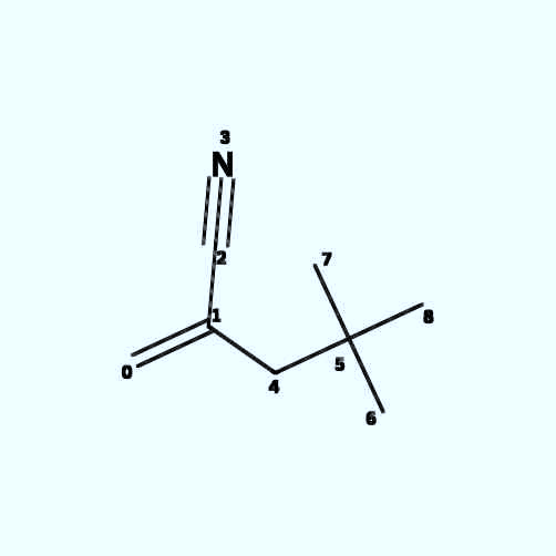 C=C(C#N)CC(C)(C)C